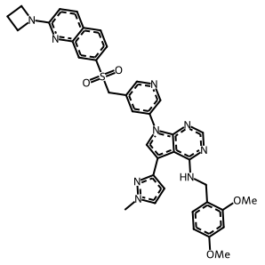 COc1ccc(CNc2ncnc3c2c(-c2ccn(C)n2)cn3-c2cncc(CS(=O)(=O)c3ccc4ccc(N5CCC5)nc4c3)c2)c(OC)c1